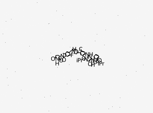 Cc1cc(Nc2ncc(Cl)c(Nc3ccccc3S(=O)(=O)C(C)C)n2)c(OC(C)C)cc1C1CCN(Cc2cc3c(cc2F)C(=O)N(C2CCC(=O)NC2=O)C3)CC1